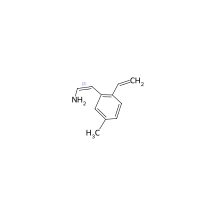 C=Cc1ccc(C)cc1/C=C\N